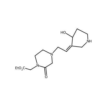 CCOC(=O)CN1CCN(CC=C2CNCCC2O)CC1=O